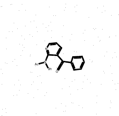 CC(=O)N(c1ncccc1C(=O)c1ccccc1)C(C)C